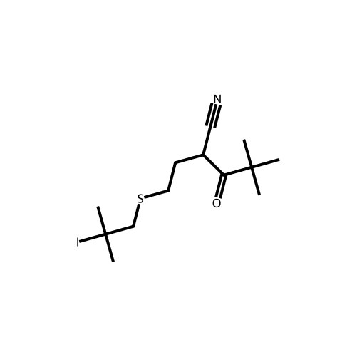 CC(C)(I)CSCCC(C#N)C(=O)C(C)(C)C